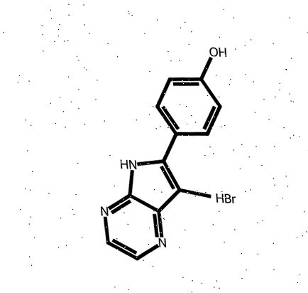 Br.Cc1c(-c2ccc(O)cc2)[nH]c2nccnc12